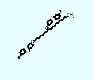 CCCCCCCCCCC(CCCCCCCOc1ccc(Oc2cccc(Br)c2)cc1)Oc1ccc(Oc2cccc(Br)c2)cc1